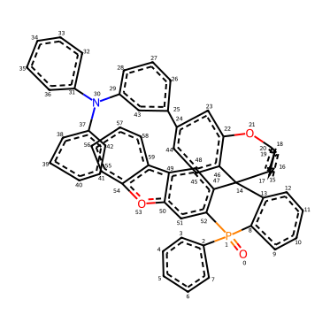 O=P1(c2ccccc2)c2ccccc2C2(c3ccccc3Oc3cc(-c4cccc(N(c5ccccc5)c5ccccc5)c4)ccc32)c2cc3c(cc21)oc1ccccc13